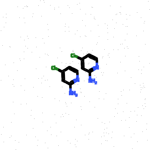 Nc1cc(Cl)ccn1.Nc1cc(Cl)ccn1